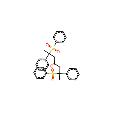 CC(CC(=O)CC(C)(c1ccccc1)S(=O)(=O)c1ccccc1)(c1ccccc1)S(=O)(=O)c1ccccc1